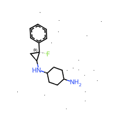 NC1CCC(NC2C[C@@]2(F)c2ccccc2)CC1